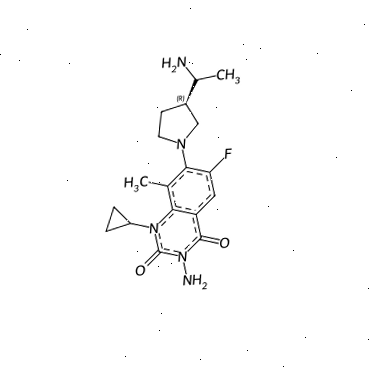 Cc1c(N2CC[C@@H](C(C)N)C2)c(F)cc2c(=O)n(N)c(=O)n(C3CC3)c12